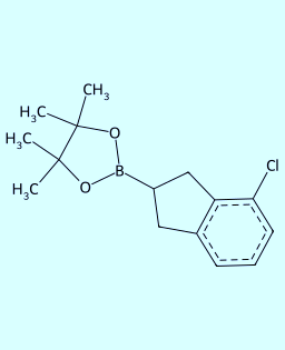 CC1(C)OB(C2Cc3cccc(Cl)c3C2)OC1(C)C